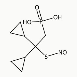 O=NSC(CP(=O)(O)O)(C1CC1)C1CC1